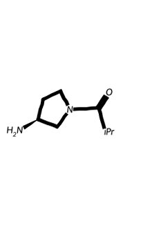 CC(C)C(=O)N1CC[C@H](N)C1